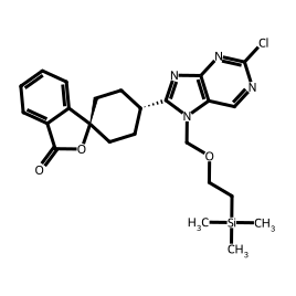 C[Si](C)(C)CCOCn1c2cnc(Cl)nc2nc1[C@H]1CC[C@@]2(CC1)OC(=O)c1ccccc12